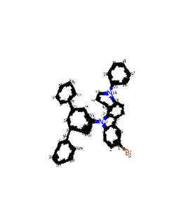 Brc1ccc2c(c1)c1ccc3c(ccn3-c3ccccc3)c1n2-c1cc(-c2ccccc2)cc(-c2ccccc2)c1